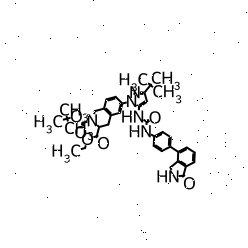 CCOC(=O)C1Cc2cc(-n3nc(C(C)(C)C)cc3NC(=O)Nc3ccc(-c4cccc5c4CNC5=O)cc3)ccc2CN1C(=O)OC(C)(C)C